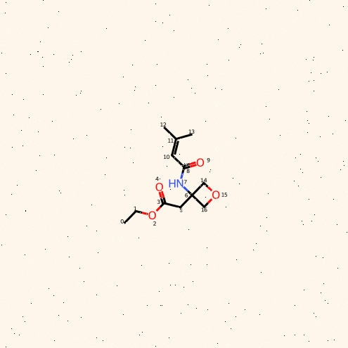 CCOC(=O)CC1(NC(=O)C=C(C)C)COC1